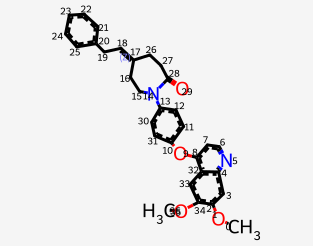 COc1cc2nccc(Oc3ccc(N4CC/C(=C\Cc5ccccc5)CCC4=O)cc3)c2cc1OC